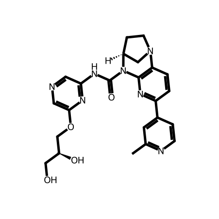 Cc1cc(-c2ccc3c(n2)N(C(=O)Nc2cncc(OC[C@@H](O)CO)n2)[C@H]2CCN3C2)ccn1